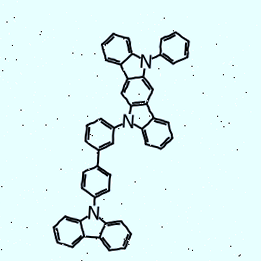 c1ccc(-n2c3ccccc3c3cc4c(cc32)c2ccccc2n4-c2cccc(-c3ccc(-n4c5ccccc5c5ccccc54)cc3)c2)cc1